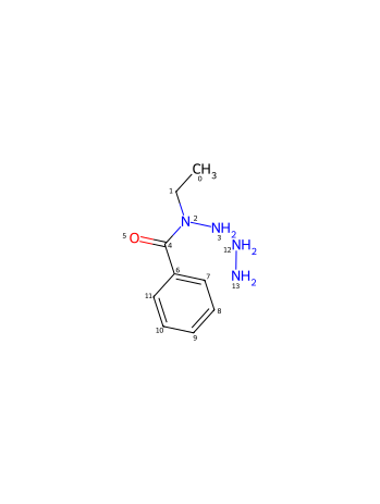 CCN(N)C(=O)c1ccccc1.NN